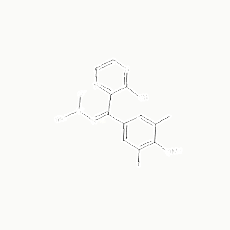 COc1c(C)cc(/C(=N/[S+]([O-])C(C)(C)C)c2nccnc2C#N)cc1C